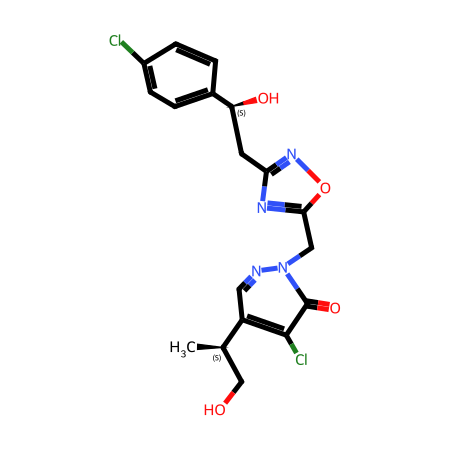 C[C@H](CO)c1cnn(Cc2nc(C[C@H](O)c3ccc(Cl)cc3)no2)c(=O)c1Cl